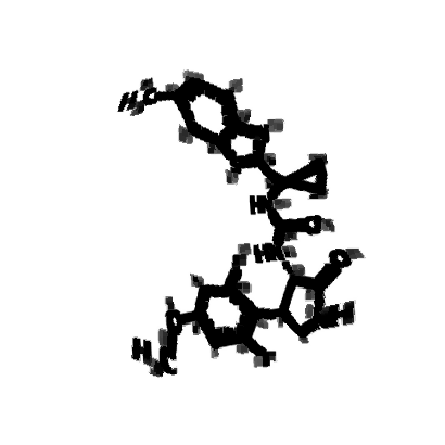 COc1cc(F)c([C@@H]2CNC(=O)[C@H]2NC(=O)NC2(c3nc4ccc(C)cc4s3)CC2)c(F)c1